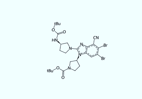 CC(C)(C)OC(=O)N[C@@H]1CCN(c2nc3c(C#N)c(Br)c(Br)cc3n2[C@H]2CCN(C(=O)OC(C)(C)C)C2)C1